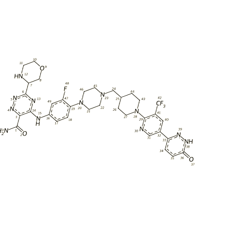 NC(=O)c1nnc(C2COCCN2)nc1Nc1ccc(N2CCN(CC3CCN(c4ncc(-c5ccc(=O)[nH]n5)cc4C(F)(F)F)CC3)CC2)c(F)c1